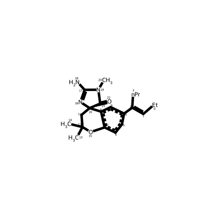 CC/C=C(\CCC)c1ccc2c(c1)C1(CC(C)(C)O2)N=C(N)N(C)C1=O